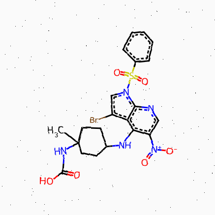 CC1(NC(=O)O)CCC(Nc2c([N+](=O)[O-])cnc3c2c(Br)cn3S(=O)(=O)c2ccccc2)CC1